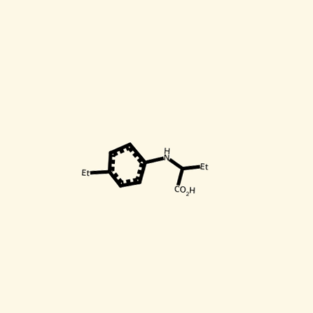 CCc1ccc(NC(CC)C(=O)O)cc1